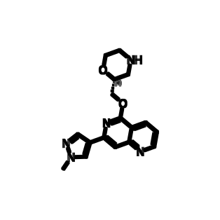 Cn1cc(-c2cc3ncccc3c(OC[C@H]3CNCCO3)n2)cn1